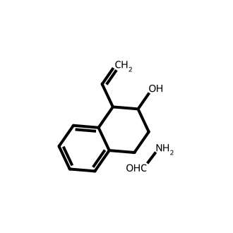 C=CC1c2ccccc2CCC1O.NC=O